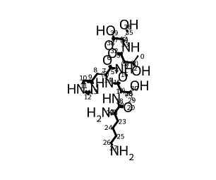 C[C@@H](O)[C@H](NC(=O)[C@H](Cc1c[nH]cn1)NC(=O)[C@@H](NC(=O)[C@@H](N)CCCCN)[C@@H](C)O)C(=O)N[C@@H](CO)C(=O)O